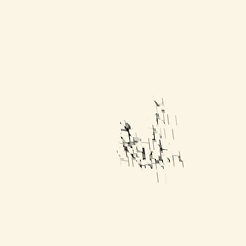 Cc1nc(C(=O)N2CCC[C@H]2C(=O)N[C@@H](CCC2CCCCC2)C(=O)NCC(=O)NC(C)(C)C(=O)NCC(=O)N[C@@H](CC(C)C)C(=O)NC(C)(C)C(=O)NC(C)(C)C(=O)NCCC(=O)NCCN2CCOCC2)co1